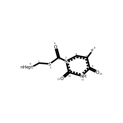 CCCCCCCCSC(=O)n1cc(F)c(=O)[nH]c1=O